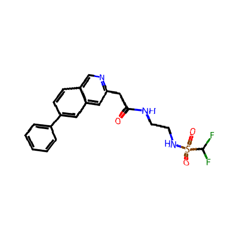 O=C(Cc1cc2cc(-c3ccccc3)ccc2cn1)NCCNS(=O)(=O)C(F)F